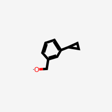 [O]Cc1cccc(C2CC2)c1